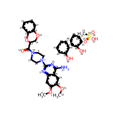 COc1cc2nc(N3CCN(C(=O)C4COc5ccccc5O4)CC3)nc(N)c2cc1OC.CS(=O)(=O)O.Oc1ccccc1.Oc1ccccc1